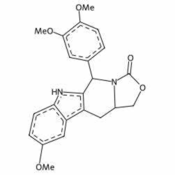 COc1ccc2[nH]c3c(c2c1)CC1COC(=O)N1C3c1ccc(OC)c(OC)c1